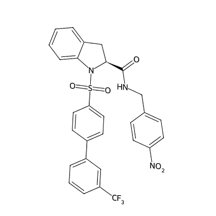 O=C(NCc1ccc([N+](=O)[O-])cc1)[C@@H]1Cc2ccccc2N1S(=O)(=O)c1ccc(-c2cccc(C(F)(F)F)c2)cc1